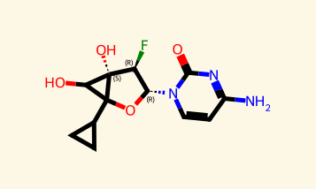 Nc1ccn([C@@H]2OC3(C4CC4)C(O)[C@@]3(O)[C@H]2F)c(=O)n1